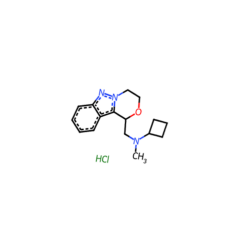 CN(CC1OCCn2nc3ccccc3c21)C1CCC1.Cl